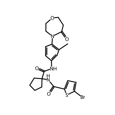 Cc1cc(NC(=O)C2(NC(=O)c3ccc(Br)s3)CCCC2)ccc1N1CCOCCC1=O